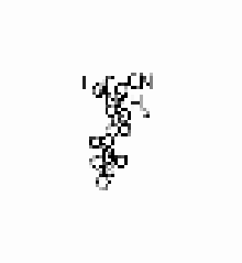 Cc1cc(C#N)cc(C)c1N(c1ccccc1)c1ccc2c(c1)Oc1cccc3c1c-2cc1c2ccccc2c(N(c2ccccc2)c2cccc4c2oc2ccccc24)cc31